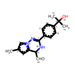 Cc1cc2n(c1)N=C(c1ccc(C(C)(C)O)cc1)NC2C=O